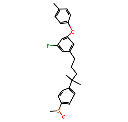 Cc1ccc(Oc2cc(F)cc(CCCC(C)(C)c3ccc([S+](C)[O-])cc3)c2)cc1